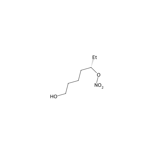 CC[C@@H](CCCCO)O[N+](=O)[O-]